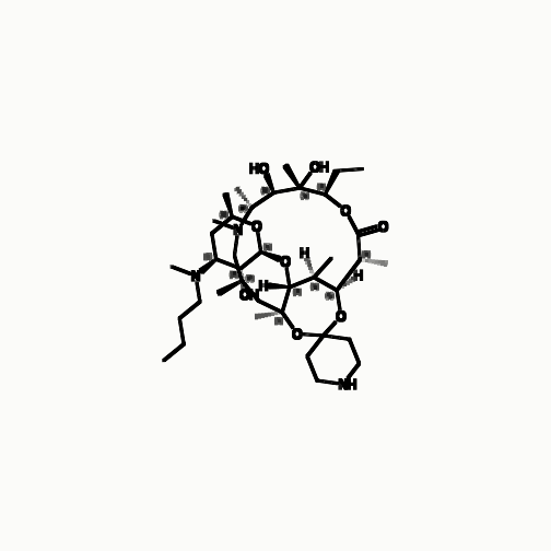 CCCCN(C)[C@H]1C[C@@H](C)O[C@@H](O[C@@H]2[C@@H](C)[C@@H]3OC4(CCNCC4)O[C@@]2(C)C[C@@H](C)CN(C)[C@H](C)[C@@H](O)[C@](C)(O)[C@@H](CC)OC(=O)[C@@H]3C)[C@@H]1O